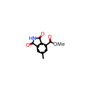 COC(=O)c1cc(C)cc2c1C(=O)NC2=O